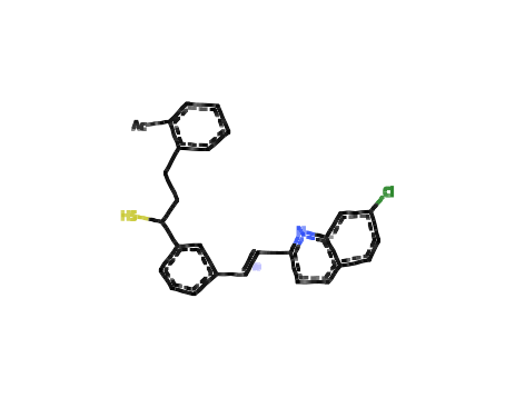 CC(=O)c1ccccc1CCC(S)c1cccc(/C=C/c2ccc3ccc(Cl)cc3n2)c1